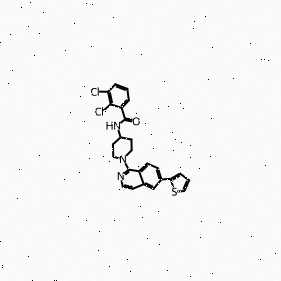 O=C(NC1CCN(c2nccc3cc(-c4cccs4)ccc23)CC1)c1cccc(Cl)c1Cl